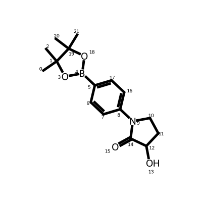 CC1(C)OB(c2ccc(N3CCC(O)C3=O)cc2)OC1(C)C